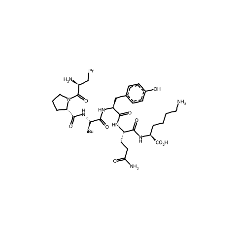 CC[C@H](C)[C@H](NC(=O)[C@@H]1CCCN1C(=O)[C@@H](N)CC(C)C)C(=O)N[C@@H](Cc1ccc(O)cc1)C(=O)N[C@@H](CCC(N)=O)C(=O)N[C@@H](CCCCN)C(=O)O